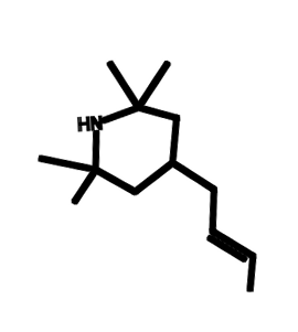 C/C=C/CC1CC(C)(C)NC(C)(C)C1